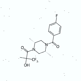 C[C@@H]1CN(C(=O)C(C)(O)C(F)(F)F)[C@H](C)CN1C(=O)c1ccc(F)cc1